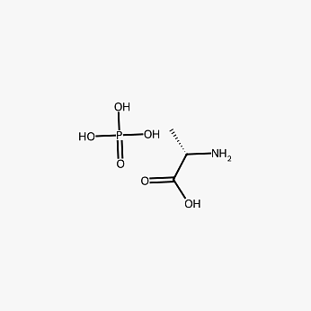 C[C@H](N)C(=O)O.O=P(O)(O)O